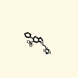 O=[N+]([O-])c1cc2c(ccn2CCn2cncn2)cc1-c1ccccc1